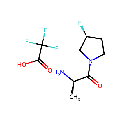 C[C@@H](N)C(=O)N1CC[C@H](F)C1.O=C(O)C(F)(F)F